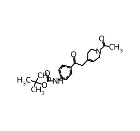 CC(=O)N1CC=C(CC(=O)c2ccc(NC(=O)OC(C)(C)C)cc2)CC1